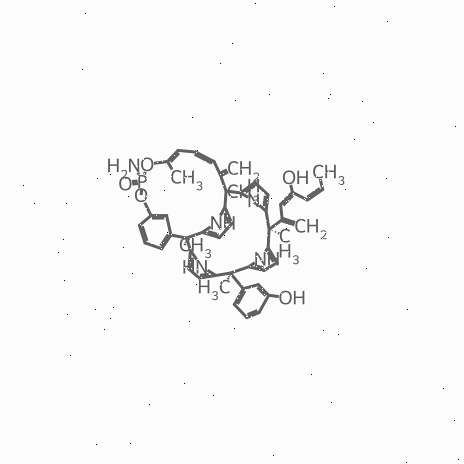 C=C1/C=C\C=C(/C)OP(N)(=O)Oc2cccc(c2)[C@@]2(C)c3ccc([nH]3)[C@]1(C)c1ccc([nH]1)[C@@](C)(C(=C)/C=C(O)\C=C/C)c1ccc([nH]1)[C@@](C)(c1cccc(O)c1)c1ccc2[nH]1